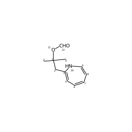 CC(C)(CC1=CC=CC=CN1)OC=O